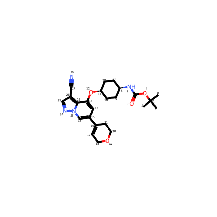 CC(C)(C)OC(=O)N[C@H]1CC[C@@H](Oc2cc(C3=CCOCC3)cn3ncc(C#N)c23)CC1